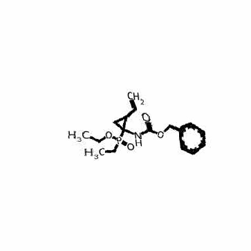 C=CC1CC1(NC(=O)OCc1ccccc1)P(=O)(CC)OCC